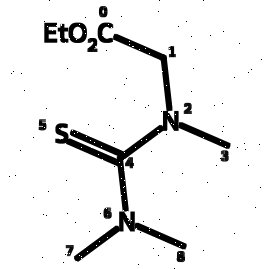 CCOC(=O)CN(C)C(=S)N(C)C